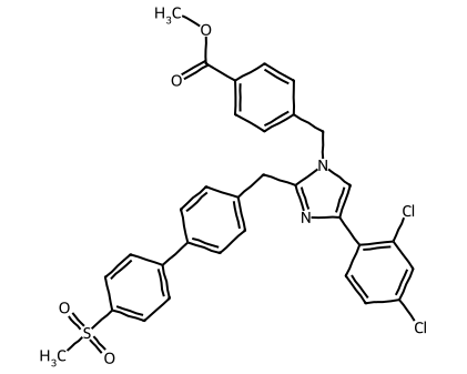 COC(=O)c1ccc(Cn2cc(-c3ccc(Cl)cc3Cl)nc2Cc2ccc(-c3ccc(S(C)(=O)=O)cc3)cc2)cc1